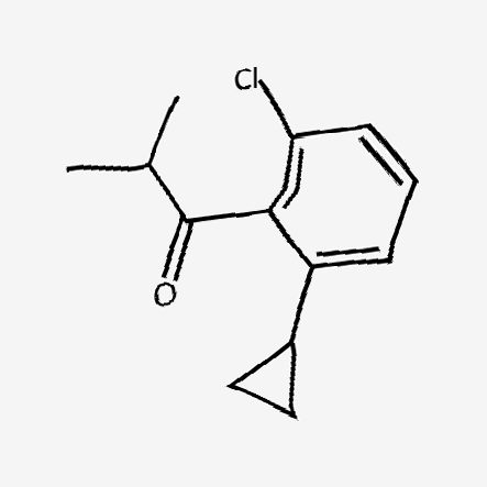 CC(C)C(=O)c1c(Cl)cccc1C1CC1